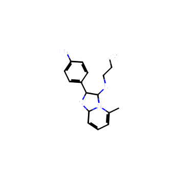 COCCNC1C(c2ccc(N)cc2)NC2C=CC=C(C)N21